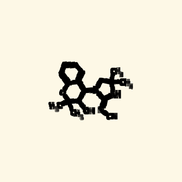 CC1(C)CN(C2c3ccccc3OC(C)(C)C2O)C(=NC#N)N1